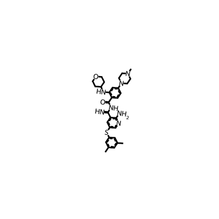 Cc1cc(C)cc(Sc2cnc(N)c(C(=N)NC(=O)c3ccc(N4CCN(C)CC4)cc3NC3CCOCC3)c2)c1